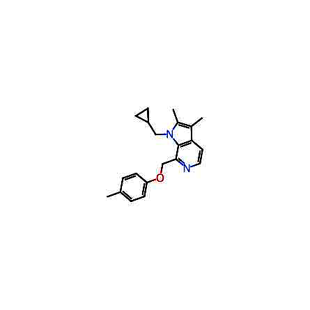 Cc1ccc(OCc2nccc3c(C)c(C)n(CC4CC4)c23)cc1